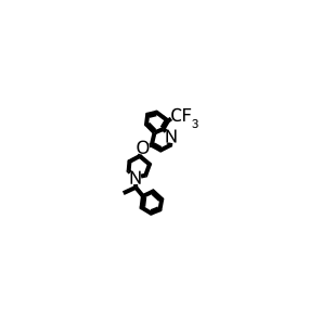 CC(c1ccccc1)N1CCC(Oc2ccnc3c(C(F)(F)F)cccc23)CC1